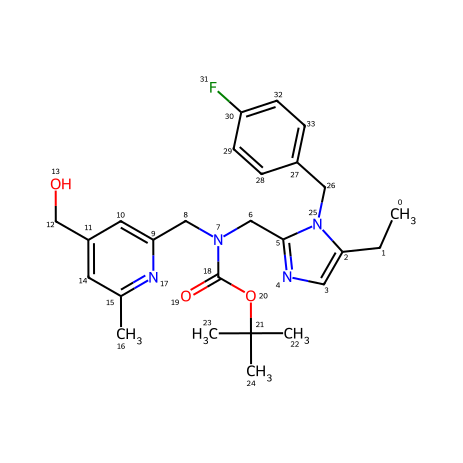 CCc1cnc(CN(Cc2cc(CO)cc(C)n2)C(=O)OC(C)(C)C)n1Cc1ccc(F)cc1